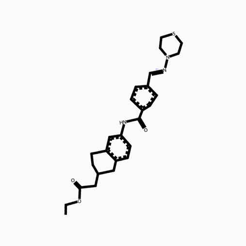 CCOC(=O)CC1CCc2cc(NC(=O)c3ccc(/C=N/N4CCSCC4)cc3)ccc2C1